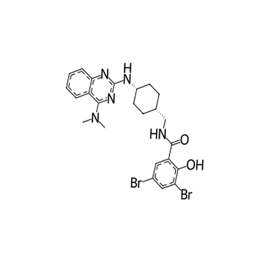 CN(C)c1nc(N[C@H]2CC[C@@H](CNC(=O)c3cc(Br)cc(Br)c3O)CC2)nc2ccccc12